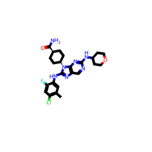 Cc1cc(Nc2nc3cnc(NC4CCOCC4)nc3n2[C@H]2CC[C@H](C(N)=O)CC2)c(F)cc1Cl